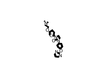 CN(C)CCOc1ccc(-n2ccn(-c3ccc(Oc4ncccn4)cc3)c2=O)cc1